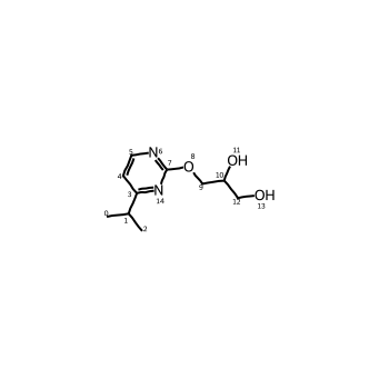 CC(C)c1ccnc(OCC(O)CO)n1